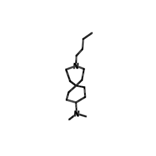 CCCCN1CCC2(CCC(N(C)C)CC2)CC1